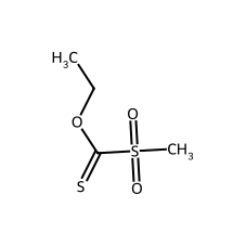 CCOC(=S)S(C)(=O)=O